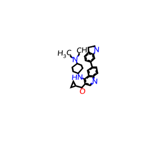 CCN(CC)C1CCC(Nc2c(C(=O)C3CC3)cnc3ccc(-c4ccc5c(c4)N=CC5)cc23)CC1